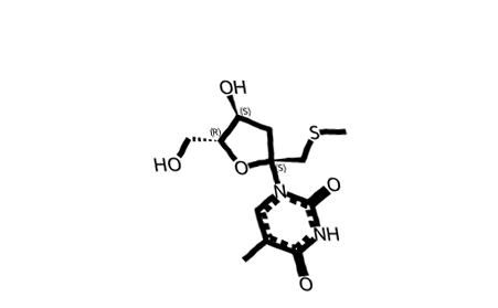 CSC[C@]1(n2cc(C)c(=O)[nH]c2=O)C[C@H](O)[C@@H](CO)O1